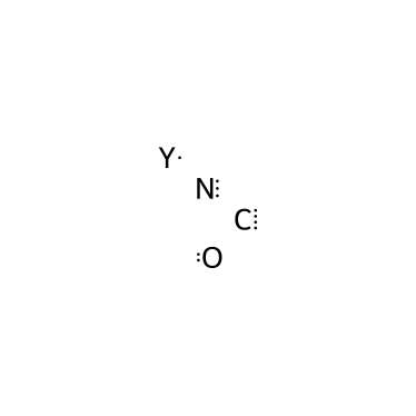 [C].[N].[O].[Y]